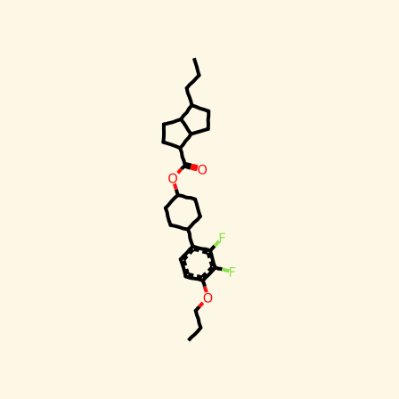 CCCOc1ccc(C2CCC(OC(=O)C3CCC4C(CCC)CCC34)CC2)c(F)c1F